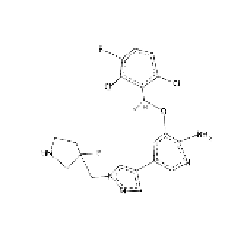 C[C@@H](Oc1cc(-c2cnn(CC3(F)CCNC3)c2)cnc1N)c1c(Cl)ccc(F)c1Cl